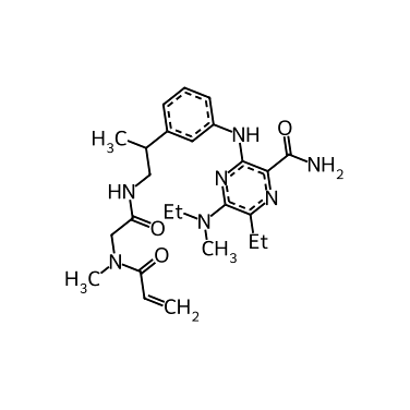 C=CC(=O)N(C)CC(=O)NCC(C)c1cccc(Nc2nc(N(C)CC)c(CC)nc2C(N)=O)c1